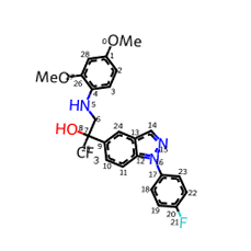 COc1ccc(NCC(O)(c2ccc3c(cnn3-c3ccc(F)cc3)c2)C(F)(F)F)c(OC)c1